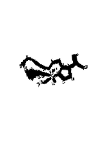 C=C(C)C1=C(/C=C\CCC)C([SH](C)(C)(C)CC)=CC1